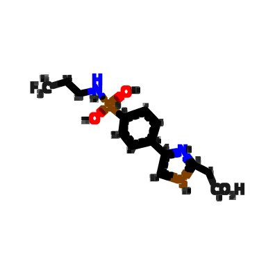 O=C(O)Cc1nc(-c2ccc(S(=O)(=O)NCCC(F)(F)F)cc2)cs1